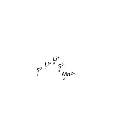 [Li+].[Li+].[Mn+2].[S-2].[S-2]